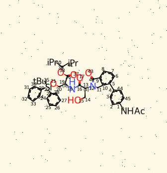 CC(=O)Nc1ccc(-c2cccc3c2CN([C@@H](CO)C(=O)N[C@@H](CO[Si](c2ccccc2)(c2ccccc2)C(C)(C)C)C(=O)OC(C(C)C)C(C)C)C3=O)cc1